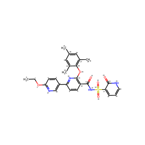 CCOc1ccc(-c2ccc(C(=O)NS(=O)(=O)c3ccc[nH]c3=O)c(Oc3c(C)cc(C)cc3C)n2)cn1